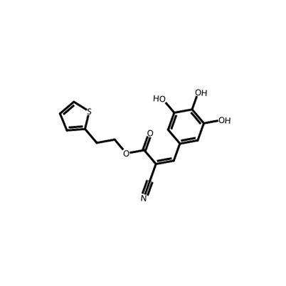 N#CC(=Cc1cc(O)c(O)c(O)c1)C(=O)OCCc1cccs1